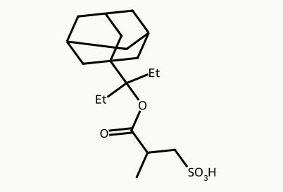 CCC(CC)(OC(=O)C(C)CS(=O)(=O)O)C12CC3CC(CC(C3)C1)C2